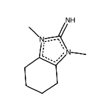 Cn1c2c(n(C)c1=N)CCCC2